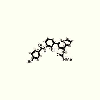 CNC(=O)Nc1cc(-c2cccc(NC(=O)c3ccc(C(C)(C)C)cc3)c2C)nn2ccnc12